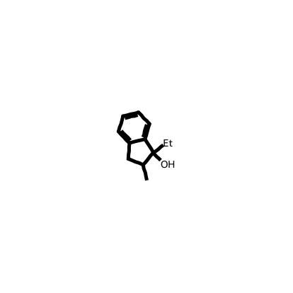 CCC1(O)c2ccccc2CC1C